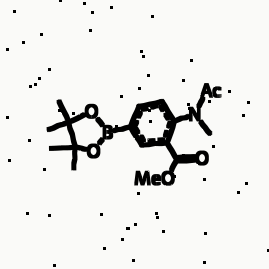 COC(=O)c1cc(B2OC(C)(C)C(C)(C)O2)ccc1N(C)C(C)=O